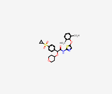 O=C(O)c1cccc(C(=O)O)c1Oc1cnc(NC(=O)C(OC2CCOCC2)c2ccc(S(=O)(=O)C3CC3)cc2)s1